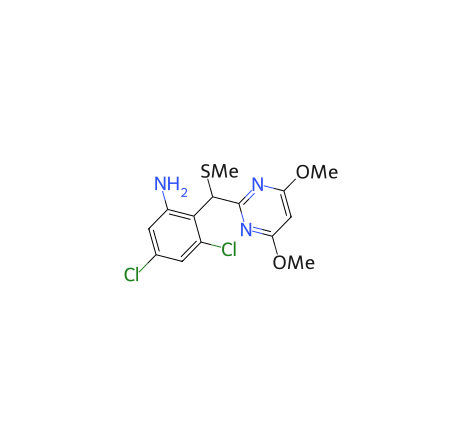 COc1cc(OC)nc(C(SC)c2c(N)cc(Cl)cc2Cl)n1